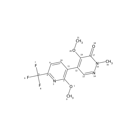 COc1nc(C(F)(F)F)ccc1-c1cnn(C)c(=O)c1OC